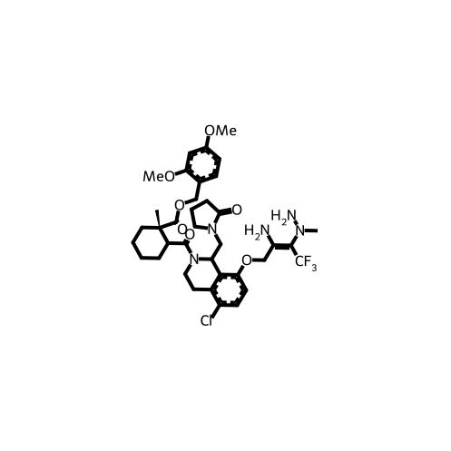 COc1ccc(COC(=O)[C@@]2(C)CCCCC2C(=O)N2CCc3c(Cl)ccc(OC/C(N)=C(/N(C)N)C(F)(F)F)c3C2CN2CCCC2=O)c(OC)c1